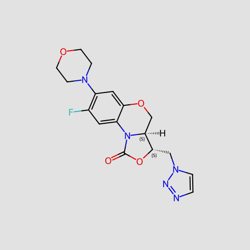 O=C1O[C@@H](Cn2ccnn2)[C@@H]2COc3cc(N4CCOCC4)c(F)cc3N12